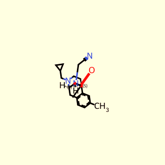 Cc1ccc2c(c1)[C@]13CCN(CC4CC4)[C@H](C2)[C@@H]1CN(CC#N)C(=O)C3